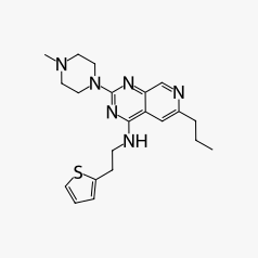 CCCc1cc2c(NCCc3cccs3)nc(N3CCN(C)CC3)nc2cn1